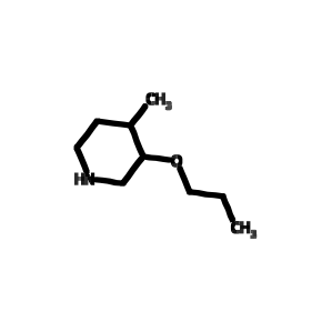 CCCOC1CNCCC1C